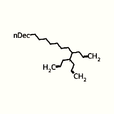 C=CC[C](CC=C)C(CC=C)CCCCCCCCCCCCCCCCC